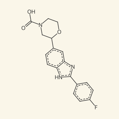 O=C(O)N1CCOC(c2ccc3[nH]c(-c4ccc(F)cc4)nc3c2)C1